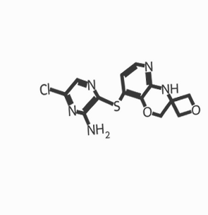 Nc1nc(Cl)cnc1Sc1ccnc2c1OCC1(COC1)N2